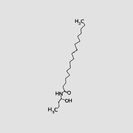 CCCCCCCCCCCCCCCCCC(=O)NC(O)CCC